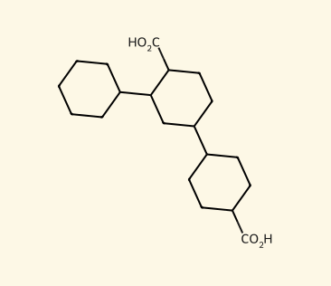 O=C(O)C1CCC(C2CCC(C(=O)O)C(C3CCCCC3)C2)CC1